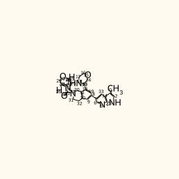 Cc1c[nH]c2ncc(-c3cc4c(c([C@@H]5COCCN5)c3)CN(C(=O)N3C[C@H]5C[C@@H]3CO5)CC4)cc12